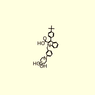 CC(C)(C)c1ccc(-c2c(C(=O)O)n(Cc3cccc(N4CCS(O)(O)CC4)c3)c3ccccc23)cc1